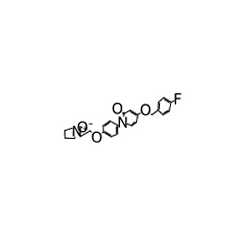 O=c1cc(OCc2ccc(F)cc2)ccn1-c1ccc(OCC[N+]2([O-])CCCC2)cc1